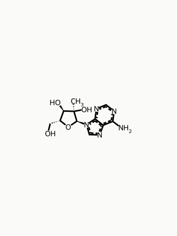 C[C@@]1(O)[C@H](O)[C@@H](CO)O[C@@H]1n1cnc2c(N)ncnc21